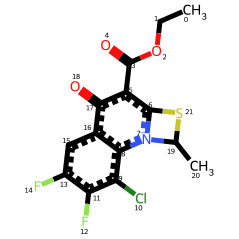 CCOC(=O)c1c2n(c3c(Cl)c(F)c(F)cc3c1=O)C(C)S2